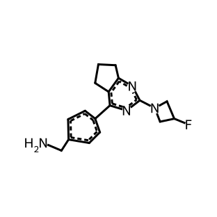 NCc1ccc(-c2nc(N3CC(F)C3)nc3c2CCC3)cc1